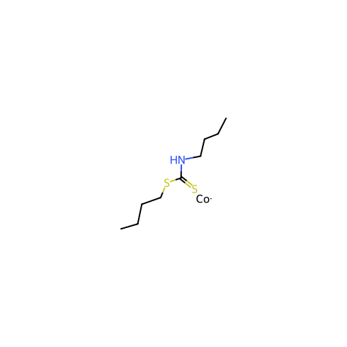 CCCCNC(=S)SCCCC.[Co]